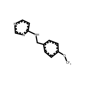 FC(F)(F)Oc1ccc(CNc2ccncn2)cc1